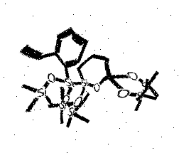 C=Cc1ccccc1[Si](O[Si](C)(C)C)(O[Si](C)(C)C)[Si]1(O[Si](C)(C)C)CCCC(O[Si](C)(C)C)(O[Si](C)(C)C)O1